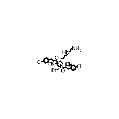 CC(C)C[C@@H]1CN(C(=O)C(N)Cc2ccc(Cl)cc2Cl)[C@@H](CCCCNCCN)CN1C(=O)C(N)Cc1ccc(Cl)cc1Cl